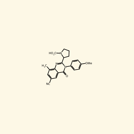 COc1ccc(-n2c(C3CCCN3C(=O)O)nc3c(C)cc(C#N)cc3c2=O)cc1